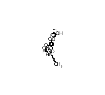 CCCCCCNC(=O)n1cc(F)c(=O)n(C(=O)c2cccc(C(=O)Oc3cc(O)c(Cl)cn3)c2)c1=O